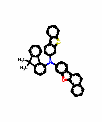 CC1(C)c2ccccc2-c2c(N(c3ccc4c(c3)oc3c5ccccc5ccc43)c3ccc4c(c3)sc3ccccc34)cccc21